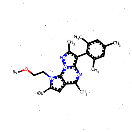 CCCCc1cc2c(C)nc3c(-c4c(C)cc(C)cc4C)c(C)nn3c2n1CCOC(C)C